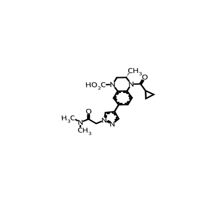 C[C@H]1CN(C(=O)O)c2cc(-c3cnn(CC(=O)N(C)C)c3)ccc2N1C(=O)C1CC1